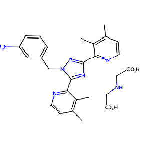 Cc1ccnc(-c2nc(-c3nccc(C)c3C)n(Cc3cccc(N)c3)n2)c1C.O=C(O)CNCC(=O)O